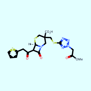 COC(=O)Cn1nnc(SCC2(C(=O)O)CS[C@@H]3C(C(=O)Cc4cccs4)C(=O)N3C2)n1